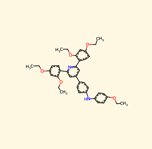 CCOc1ccc(Nc2ccc(-c3cc(-c4ccc(OCC)cc4OCC)nc(-c4ccc(OCC)cc4OCC)c3)cc2)cc1